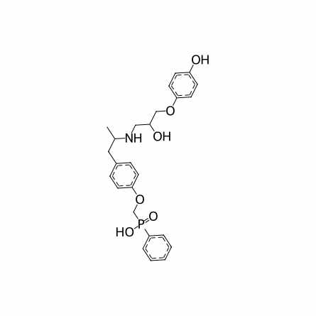 CC(Cc1ccc(OCP(=O)(O)c2ccccc2)cc1)NCC(O)COc1ccc(O)cc1